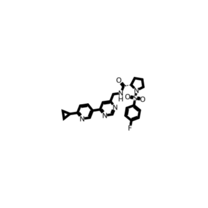 O=C(NCc1cc(-c2ccc(C3CC3)nc2)ncn1)[C@@H]1CCCN1S(=O)(=O)c1ccc(F)cc1